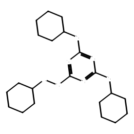 C1CCC(Nc2nc(NSC3CCCCC3)nc(NC3CCCCC3)n2)CC1